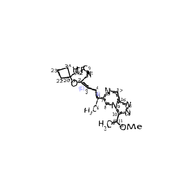 C=N/C(=C\C=C(/C)c1cn2c([C@H](C)OC)nnc2cn1)OC1(C(F)(F)F)CCC1